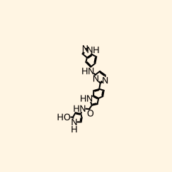 O=C(NC1=CC(O)NC=C1)c1cc2ccc(-c3nccc(Nc4ccc5[nH]ncc5c4)n3)cc2[nH]1